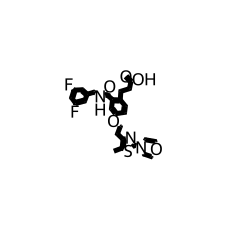 Cc1sc(N2CCOCC2)nc1CCOc1ccc(CCC(=O)O)c(C(=O)NCc2cc(F)cc(F)c2)c1